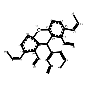 C=C/C=C(\C=C/C)C1c2c(ccc(/C=C\C)c2C=C)Oc2ccc(/C=C\C)c(C=C)c21